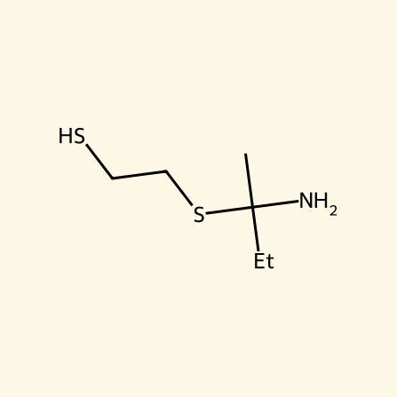 CCC(C)(N)SCCS